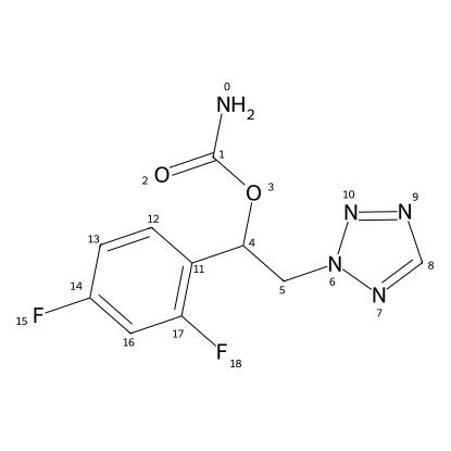 NC(=O)OC(Cn1ncnn1)c1ccc(F)cc1F